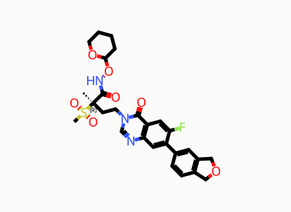 C[C@@](CCn1cnc2cc(-c3ccc4c(c3)COC4)c(F)cc2c1=O)(C(=O)NOC1CCCCO1)S(C)(=O)=O